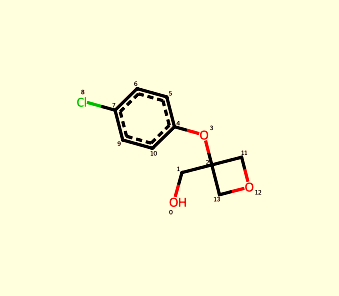 OCC1(Oc2ccc(Cl)cc2)COC1